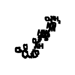 NC(=O)c1nc(C2=CSC(SCC(=O)NC[C@H]3CN(CC4C=C(Cl)C(Cl)=CC4)CCO3)N2)no1